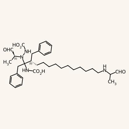 CC(C=O)NCCCCCCCCCCC[C@@H](Cc1ccccc1)C(Cc1ccccc1)(NC(=O)O)N(NC(=O)O)[C@@H](C)C=O